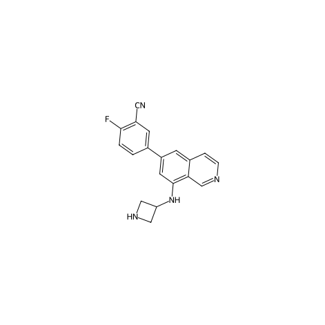 N#Cc1cc(-c2cc(NC3CNC3)c3cnccc3c2)ccc1F